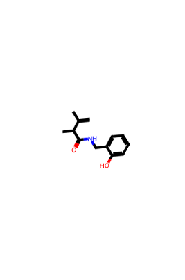 C=C(C)C(C)C(=O)NCc1ccccc1O